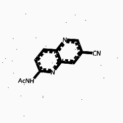 CC(=O)Nc1ccc2ncc(C#N)cc2n1